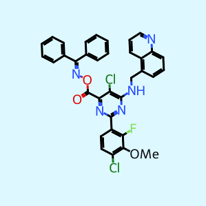 COc1c(Cl)ccc(-c2nc(NCc3cccc4ncccc34)c(Cl)c(C(=O)ON=C(c3ccccc3)c3ccccc3)n2)c1F